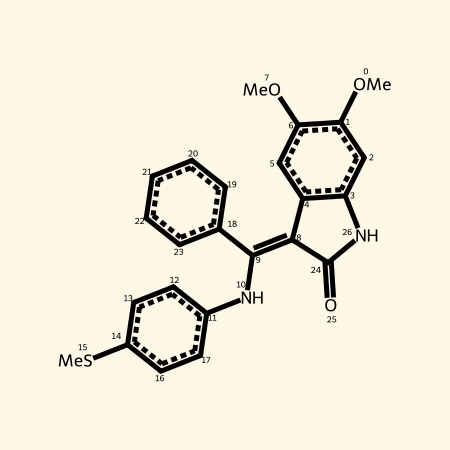 COc1cc2c(cc1OC)/C(=C(/Nc1ccc(SC)cc1)c1ccccc1)C(=O)N2